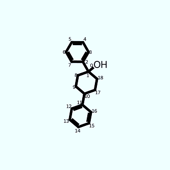 OC1(c2ccccc2)CCC(c2ccccc2)CC1